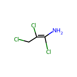 NC(Cl)=C(Cl)CCl